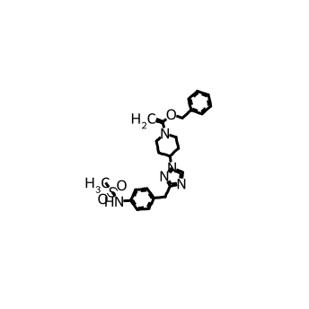 C=C(OCc1ccccc1)N1CCC(n2cnc(Cc3ccc(NS(C)(=O)=O)cc3)n2)CC1